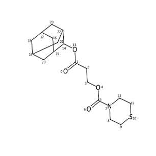 O=C(CCOC(=O)N1CCSCC1)OC1C2CC3CC(C2)CC1C3